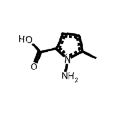 Cc1ccc(C(=O)O)n1N